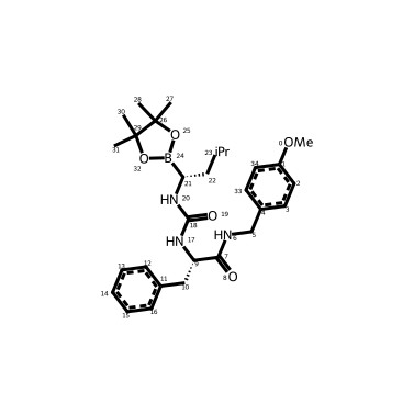 COc1ccc(CNC(=O)[C@H](Cc2ccccc2)NC(=O)N[C@@H](CC(C)C)B2OC(C)(C)C(C)(C)O2)cc1